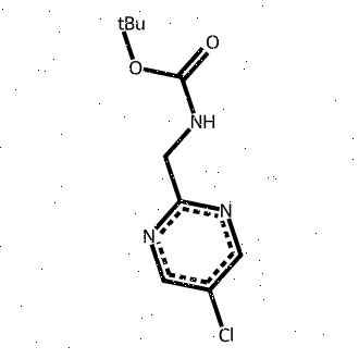 CC(C)(C)OC(=O)NCc1ncc(Cl)cn1